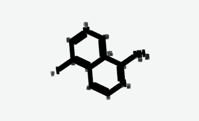 Nc1nccc2c(I)cncc12